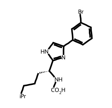 CC(C)CCC[C@@H](NC(=O)O)c1nc(-c2cccc(Br)c2)c[nH]1